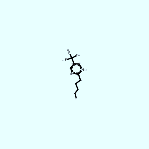 CCCCCc1ncc(C(F)(F)F)cn1